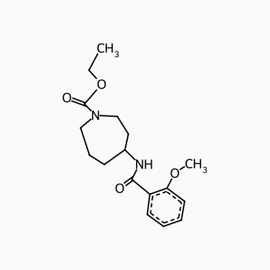 CCOC(=O)N1CCCC(NC(=O)c2ccccc2OC)CC1